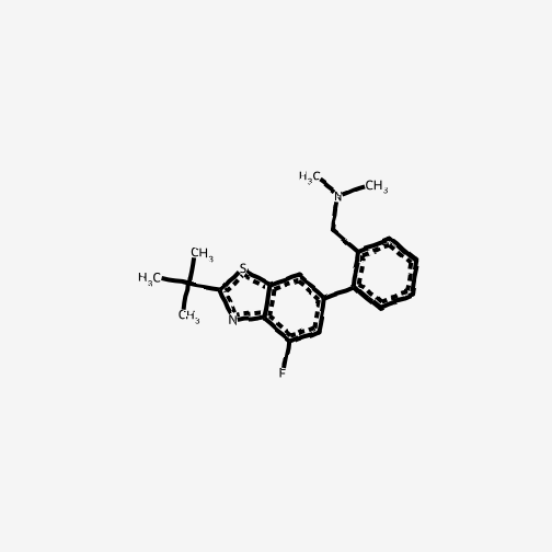 CN(C)Cc1ccccc1-c1cc(F)c2nc(C(C)(C)C)sc2c1